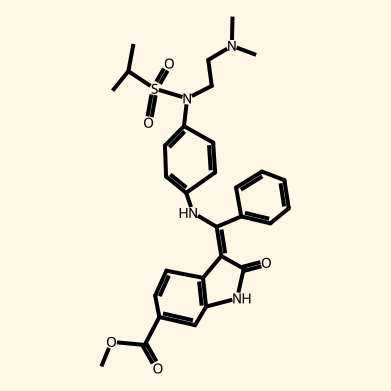 COC(=O)c1ccc2c(c1)NC(=O)C2=C(Nc1ccc(N(CCN(C)C)S(=O)(=O)C(C)C)cc1)c1ccccc1